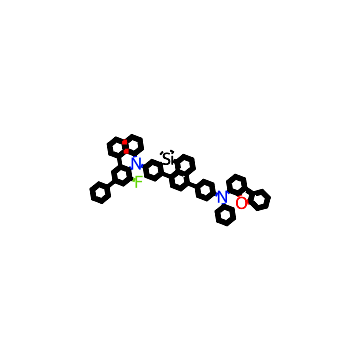 C[Si]1(C)c2cc(N(c3ccccc3)c3c(F)cc(-c4ccccc4)cc3-c3ccccc3)ccc2-c2ccc(-c3ccc(N(c4ccccc4)c4cccc5c4oc4ccccc45)cc3)c3cccc1c23